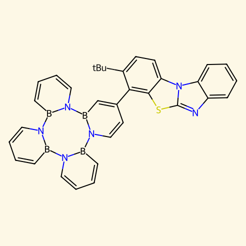 CC(C)(C)c1ccc2c(sc3nc4ccccc4n32)c1C1=CB2N3C=CC=CB3N3C=CC=CB3N3C=CC=CB3N2C=C1